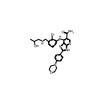 CCc1c(CNCC(C)O)cccc1Nc1c(C(N)=O)cnc2[nH]c(-c3ccc(N4CCOCC4)cc3)nc12